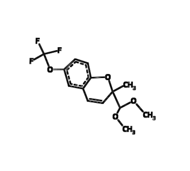 COC(OC)C1(C)C=Cc2cc(OC(F)(F)F)ccc2O1